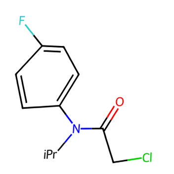 CC(C)N(C(=O)CCl)c1ccc(F)cc1